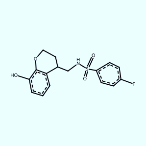 O=S(=O)(NCC1CCOc2c(O)cccc21)c1ccc(F)cc1